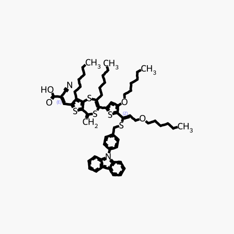 C=C1SC(c2cc(OCCCCCC)c(/C(=C/COCCCCCC)SCc3ccc(-n4c5ccccc5c5ccccc54)cc3)s2)=C(CCCCCC)Sc2c1sc(/C=C(\C#N)C(=O)O)c2CCCCCC